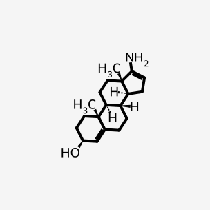 C[C@]12CC[C@H](O)C=C1CC[C@@H]1[C@@H]2CC[C@]2(C)C(N)=CC[C@@H]12